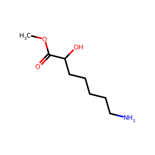 COC(=O)C(O)CCCCCN